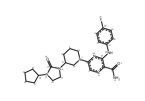 NC(=O)c1ncc(N2CCCC(N3CCN(C4CCCC4)C3=O)C2)nc1Nc1ccc(F)cc1